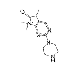 CC1C(=O)[N+](C)(C)c2nc(N3CCNCC3)ncc21